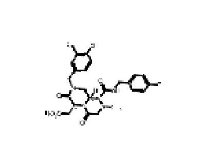 CN1CC(=O)N2[C@@H](CC(=O)O)C(=O)N(Cc3ccc(Cl)c(Cl)c3)C[C@@H]2N1C(=O)NCc1ccc(F)cc1